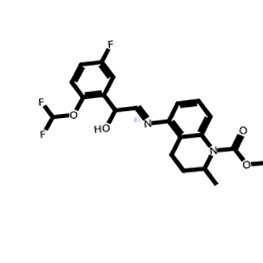 COC(=O)N1c2cccc(/N=C/C(O)c3cc(F)ccc3OC(F)F)c2CCC1C